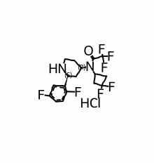 Cl.O=C(N(C1CC(F)(F)C1)[C@@H]1CCN[C@H](c2cc(F)ccc2F)C1)C(F)(F)F